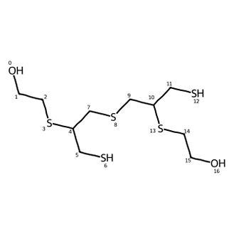 OCCSC(CS)CSCC(CS)SCCO